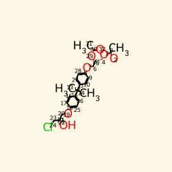 CC(=O)OC[C@H](COc1ccc(C(C)(C)c2ccc(OC[C@H](O)CCl)cc2)cc1)OC(C)=O